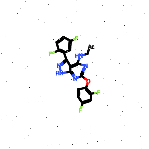 CC(=O)CNc1nc(Oc2ccc(F)cc2F)nc2[nH]nc(-c3cc(F)ccc3F)c12